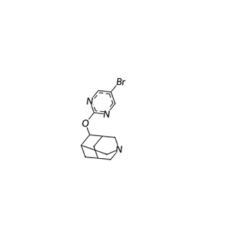 Brc1cnc(OC2C3CC4CC2CN(C4)C3)nc1